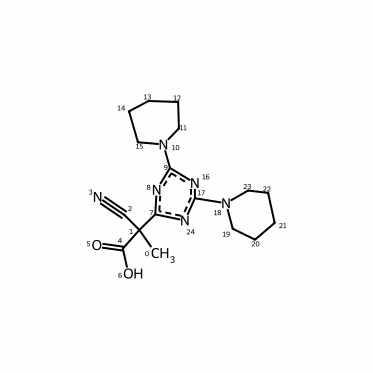 CC(C#N)(C(=O)O)c1nc(N2CCCCC2)nc(N2CCCCC2)n1